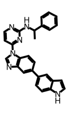 CC(Nc1nccc(-n2cnc3cc(-c4ccc5[nH]ccc5c4)ccc32)n1)c1ccccc1